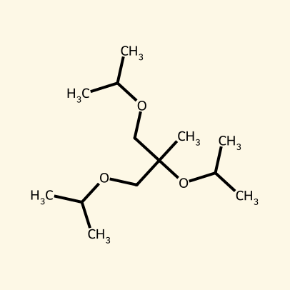 CC(C)OCC(C)(COC(C)C)OC(C)C